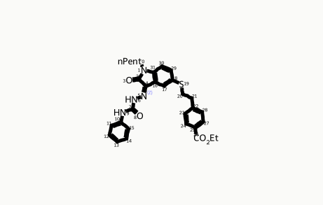 CCCCCN1C(=O)/C(=N\NC(=O)Nc2ccccc2)c2cc(SCCc3ccc(C(=O)OCC)cc3)ccc21